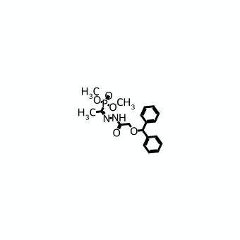 COP(=O)(OC)C(C)=NNC(=O)COC(c1ccccc1)c1ccccc1